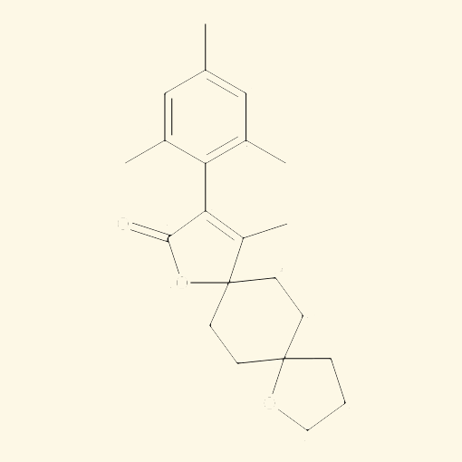 CC1=C(c2c(C)cc(C)cc2C)C(=O)OC12CCC1(CCCO1)CC2